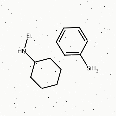 CCNC1CCCCC1.[SiH3]c1ccccc1